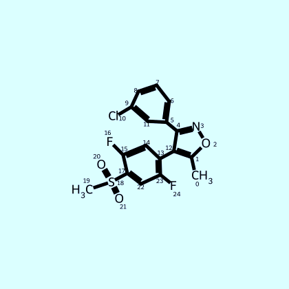 Cc1onc(-c2cccc(Cl)c2)c1-c1cc(F)c(S(C)(=O)=O)cc1F